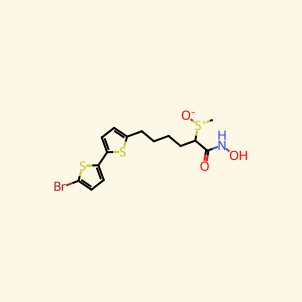 C[S+]([O-])C(CCCCc1ccc(-c2ccc(Br)s2)s1)C(=O)NO